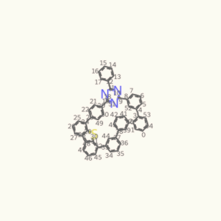 c1ccc(-c2cccc(-c3nc(-c4ccccc4)nc(-c4ccc(-c5cccc6c5sc5c(-c7cccc(-c8ccccc8)c7)cccc56)cc4)n3)c2)cc1